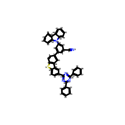 N#Cc1cc(-c2ccc3sc4ccc(-c5nc(-c6ccccc6)nc(-c6ccccc6)n5)cc4c3c2)cc(-n2c3ccccc3c3ccccc32)c1